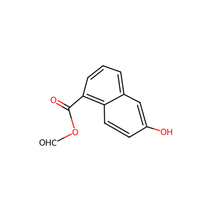 O=COC(=O)c1cccc2cc(O)ccc12